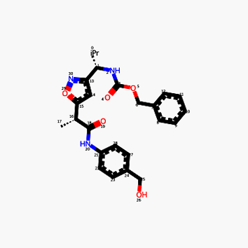 CC(C)[C@H](NC(=O)OCc1ccccc1)c1cc([C@@H](C)C(=O)Nc2ccc(CO)cc2)on1